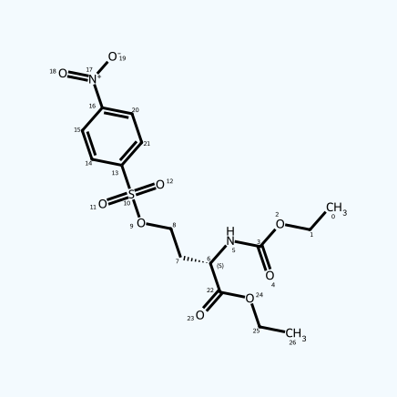 CCOC(=O)N[C@@H](CCOS(=O)(=O)c1ccc([N+](=O)[O-])cc1)C(=O)OCC